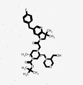 C[C@@H]1CN(CC(=O)N2CC(C)(C)c3ncc(Cc4ccc(F)cc4)cc32)[C@@H](CN2CCOCC2CO)CN1C(=O)OC(C)(C)C